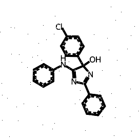 OC1(c2ccc(Cl)cc2)N=C(c2ccccc2)N=C1Nc1ccccc1